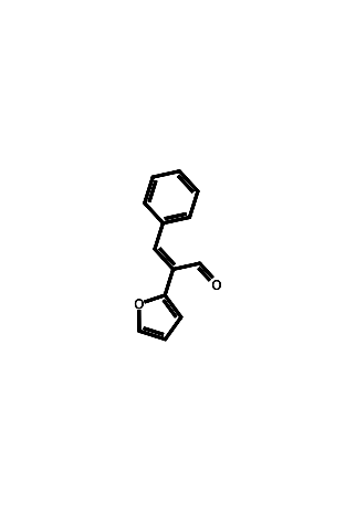 O=C/C(=C\c1ccccc1)c1ccco1